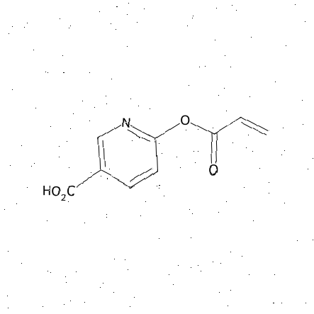 C=CC(=O)Oc1ccc(C(=O)O)cn1